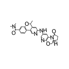 CC1Oc2cc(C(=O)N(C)C)ccc2-c2cnc(Nc3cnc4c(c3)N3C(=O)CC[C@H]3CO4)cc21